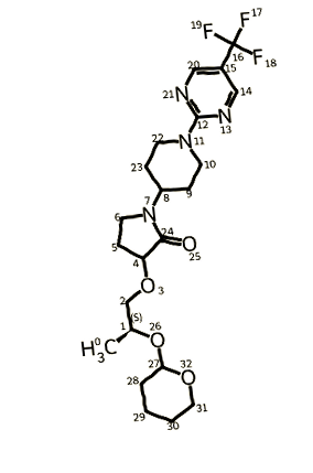 C[C@@H](COC1CCN(C2CCN(c3ncc(C(F)(F)F)cn3)CC2)C1=O)OC1CCCCO1